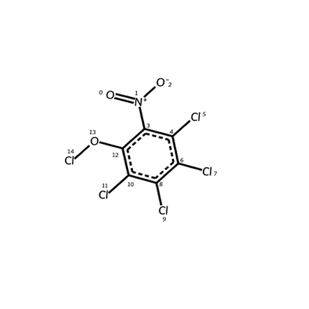 O=[N+]([O-])c1c(Cl)c(Cl)c(Cl)c(Cl)c1OCl